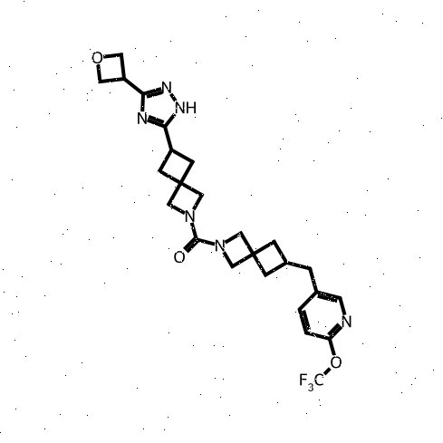 O=C(N1CC2(CC(Cc3ccc(OC(F)(F)F)nc3)C2)C1)N1CC2(CC(c3nc(C4COC4)n[nH]3)C2)C1